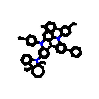 CC(C)(C)c1ccc(N2c3cc(N4c5ccccc5C5(C)CCCCCC45C)ccc3B3c4ccc(-c5ccccc5)cc4N(c4ccc(C(C)(C)C)cc4-c4ccccc4)c4cc(C(C)(C)C)cc2c43)cc1